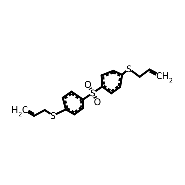 C=CCSc1ccc(S(=O)(=O)c2ccc(SCC=C)cc2)cc1